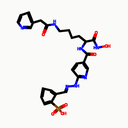 O=C(Cc1cccnc1)NCCCCC(NC(=O)c1ccc(NN=Cc2ccccc2S(=O)(=O)O)nc1)C(=O)NO